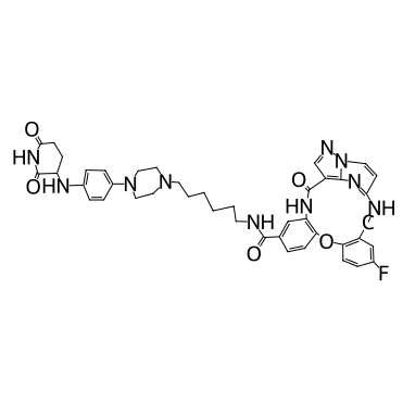 O=C1CCC(Nc2ccc(N3CCN(CCCCCCNC(=O)c4ccc5c(c4)NC(=O)c4cnn6ccc(nc46)NCc4cc(F)ccc4O5)CC3)cc2)C(=O)N1